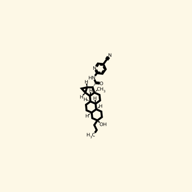 CCC[C@@]1(O)CC[C@H]2[C@H](CC[C@@H]3[C@@H]2CC[C@@]2(C)[C@H]3[C@@H]3C[C@@H]3[C@@H]2C(=O)Nc2ccc(C#N)cn2)C1